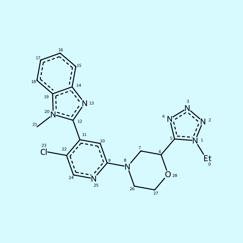 CCn1nnnc1C1CN(c2cc(-c3nc4ccccc4n3C)c(Cl)cn2)CCO1